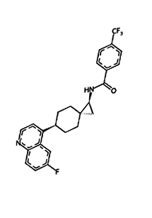 O=C(N[C@H]1C[C@]12CC[C@H](c1ccnc3ccc(F)cc31)CC2)c1ccc(C(F)(F)F)cc1